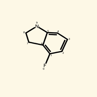 Fc1cccc2c1CC[N]2